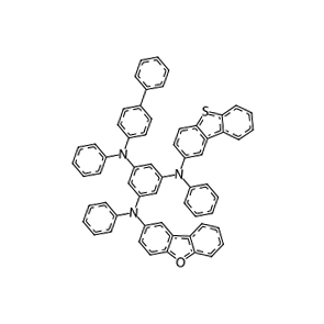 c1ccc(-c2ccc(N(c3ccccc3)c3cc(N(c4ccccc4)c4ccc5oc6ccccc6c5c4)cc(N(c4ccccc4)c4ccc5sc6ccccc6c5c4)c3)cc2)cc1